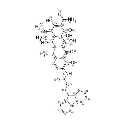 CC1c2ccc(NC(=O)OCC3c4ccccc4-c4ccccc43)c(O)c2C(=O)C2=C(O)C3(O)C(=O)C(C(N)=O)=C(O)C(N(C)C)C3C(O)C21